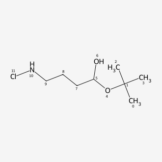 CC(C)(C)OC(O)CCCNCl